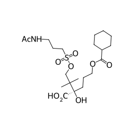 CC(=O)NCCCS(=O)(=O)OCC(C)(C)[C@](O)(CCCOC(=O)C1CCCCC1)C(=O)O